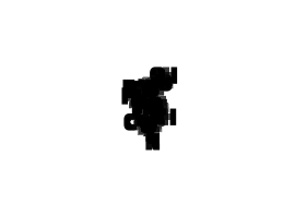 Cc1cc(C(F)(F)F)nn1-c1nc(Nc2cc(Cl)cc(C#N)c2)ncc1-c1cncc(C(=O)O)c1